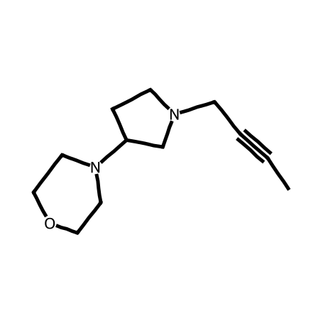 CC#CCN1CCC(N2CCOCC2)C1